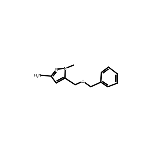 Cn1nc(N)cc1COCc1ccccc1